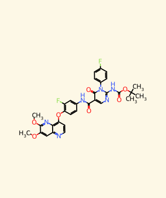 COc1cc2nccc(Oc3ccc(NC(=O)c4cnc(NC(=O)OC(C)(C)C)n(-c5ccc(F)cc5)c4=O)cc3F)c2nc1OC